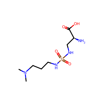 CN(C)CCCNS(=O)(=O)NC[C@H](N)C(=O)O